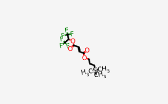 C[Si](C)(C)CCCOC(=O)/C=C/C(=O)OC(C(F)(F)F)C(F)(F)F